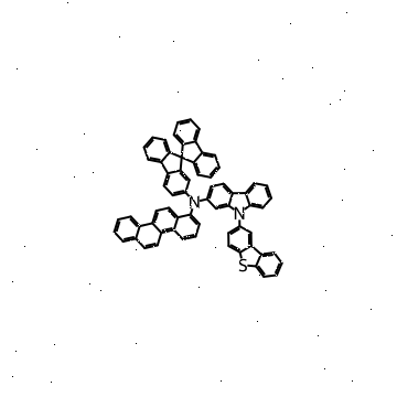 c1ccc2c(c1)-c1ccccc1C21c2ccccc2-c2ccc(N(c3ccc4c5ccccc5n(-c5ccc6sc7ccccc7c6c5)c4c3)c3cccc4c3ccc3c5ccccc5ccc43)cc21